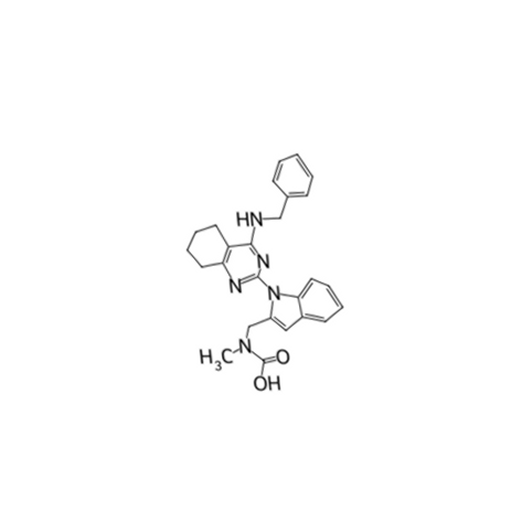 CN(Cc1cc2ccccc2n1-c1nc2c(c(NCc3ccccc3)n1)CCCC2)C(=O)O